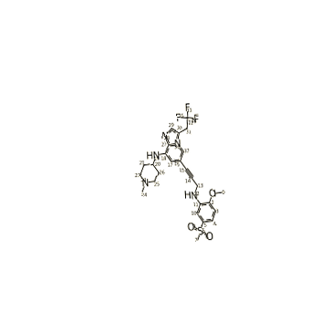 COc1ccc(S(C)(=O)=O)cc1NCC#Cc1cc(NC2CCN(C)CC2)c2ncc(CC(F)(F)F)n2c1